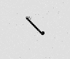 [CH2]CCCCCCCCCCCCCCCCCCCCCc1ccccc1